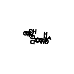 O=C(Nc1cc2cc(C3CCN([C@H]4COC[C@H]4O)CC3)c(Cl)cc2cn1)C1CC1